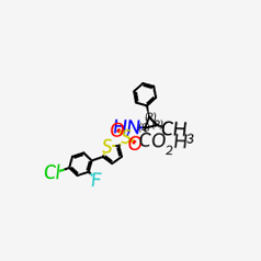 C[C@@H]1[C@H](c2ccccc2)[C@]1(NS(=O)(=O)c1ccc(-c2ccc(Cl)cc2F)s1)C(=O)O